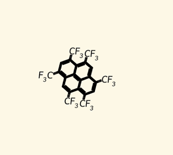 FC(F)(F)c1cc(C(F)(F)F)c2c(C(F)(F)F)cc3c(C(F)(F)F)cc(C(F)(F)F)c4c(C(F)(F)F)cc1c2c34